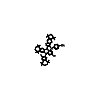 CCc1cc2c3c(c1)N(c1ccc(C(C)(C)C)cc1)c1c(sc4cc5c(cc14)C(C)(C)CCC5(C)C)B3c1cc3c(cc1N2c1cc2c(cc1C)C(C)(C)CCC2(C)C)C(C)(C)CCC3(C)C